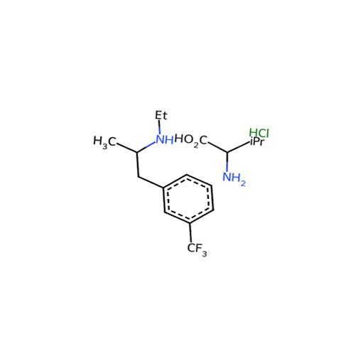 CC(C)C(N)C(=O)O.CCNC(C)Cc1cccc(C(F)(F)F)c1.Cl